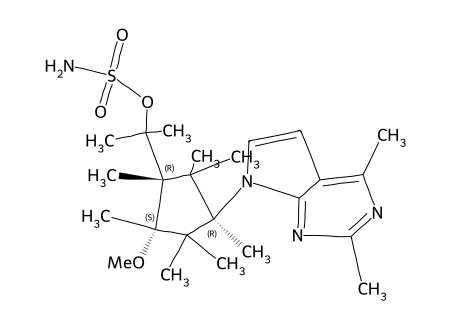 CO[C@@]1(C)C(C)(C)[C@](C)(n2ccc3c(C)nc(C)nc32)C(C)(C)[C@@]1(C)C(C)(C)OS(N)(=O)=O